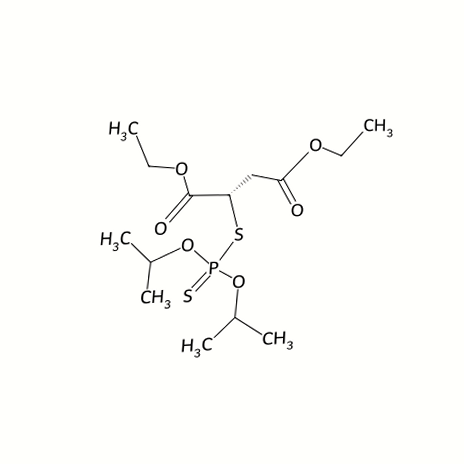 CCOC(=O)C[C@H](SP(=S)(OC(C)C)OC(C)C)C(=O)OCC